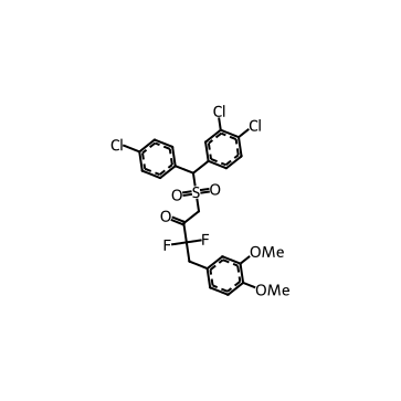 COc1ccc(CC(F)(F)C(=O)CS(=O)(=O)C(c2ccc(Cl)cc2)c2ccc(Cl)c(Cl)c2)cc1OC